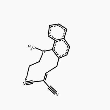 CN(CCF)c1c(CC=C(C#N)C#N)ccc2ccccc12